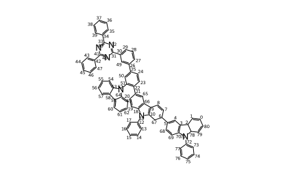 C1=CC2c3cc(C4C=Cc5c(n(-c6ccccc6)c6ccc(-c7ccc(-c8cccc(-c9nc(-c%10ccccc%10)nc(-c%10ccccc%10)n9)c8)cc7-n7c8ccccc8c8ccccc87)cc56)C4)ccc3N(c3ccccc3)C2C=C1